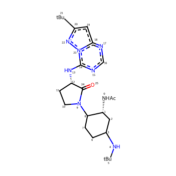 CC(=O)N[C@@H]1CC(NC(C)(C)C)CCC1N1CC[C@H](Nc2ncnc3cc(C(C)(C)C)nn23)C1=O